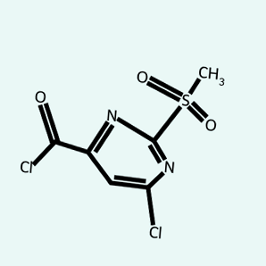 CS(=O)(=O)c1nc(Cl)cc(C(=O)Cl)n1